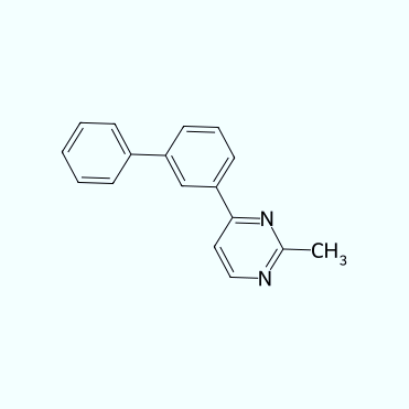 Cc1nccc(-c2cccc(-c3ccccc3)c2)n1